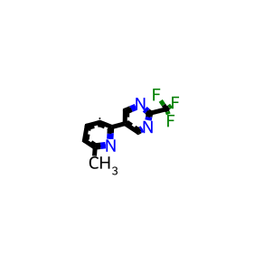 Cc1cc[c]c(-c2cnc(C(F)(F)F)nc2)n1